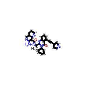 CC(NC(=O)c1c(N)ncc2cccnc12)c1nc2cccc(C#Cc3ccncc3)c2c(=O)n1-c1ccccc1